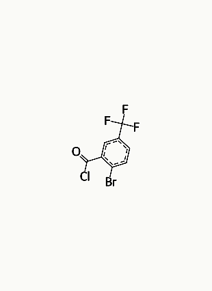 O=C(Cl)c1cc(C(F)(F)F)ccc1Br